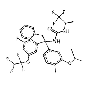 Cc1ccc([C@@](Cc2ccccc2)(NC(=O)N[C@H](C)C(F)(F)F)c2cc(F)cc(OC(F)(F)C(F)F)c2)cc1OC(C)C